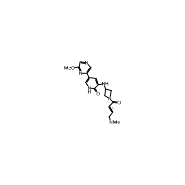 CNC/C=C/C(=O)N1CC(Nc2cc(-c3cncc(OC)n3)c[nH]c2=O)C1